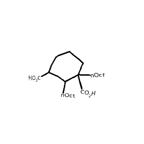 CCCCCCCCC1C(C(=O)O)CCCC1(CCCCCCCC)C(=O)O